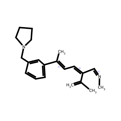 C=C(C)C(/C=N\C)=C\C=C(/C)c1cccc(CN2CCCC2)c1